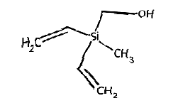 C=C[Si](C)(C=C)CO